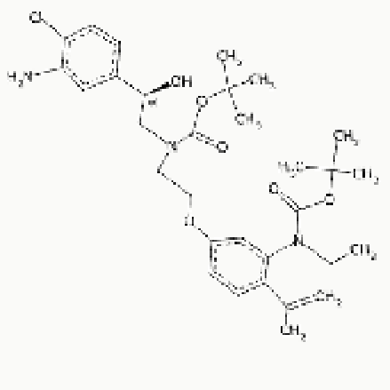 C=C(C)c1ccc(OCCN(C[C@H](O)c2ccc(Cl)c(N)c2)C(=O)OC(C)(C)C)cc1N(CC)C(=O)OC(C)(C)C